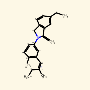 C=C1c2cc(CC)ccc2CN1c1ccc(C)c(/C=C(/C)CC)c1